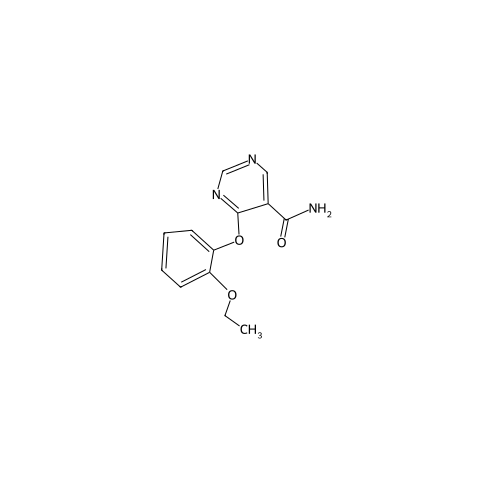 CCOc1ccccc1Oc1ncncc1C(N)=O